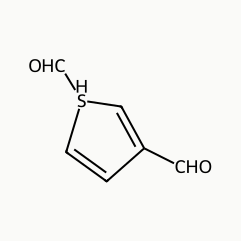 O=CC1=C[SH](C=O)C=C1